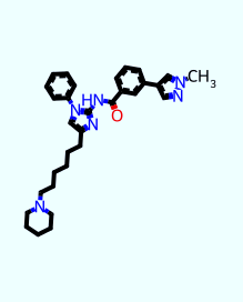 Cn1cc(-c2cccc(C(=O)Nc3nc(CCCCCCN4CCCCC4)cn3-c3ccccc3)c2)cn1